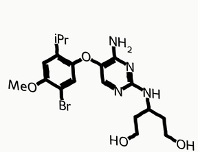 COc1cc(C(C)C)c(Oc2cnc(NC(CCO)CCO)nc2N)cc1Br